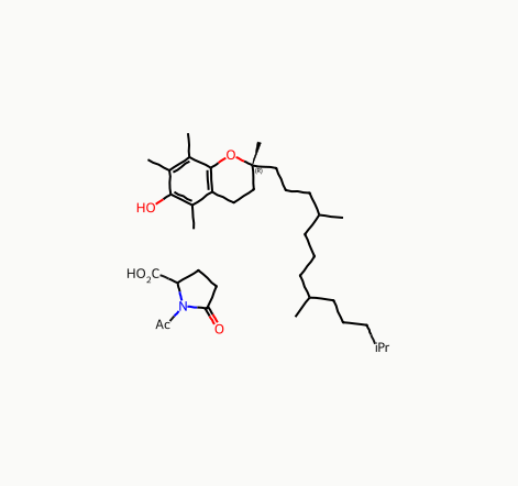 CC(=O)N1C(=O)CCC1C(=O)O.Cc1c(C)c2c(c(C)c1O)CC[C@@](C)(CCCC(C)CCCC(C)CCCC(C)C)O2